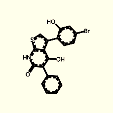 O=c1[nH]c2scc(-c3ccc(Br)cc3O)c2c(O)c1-c1ccccc1